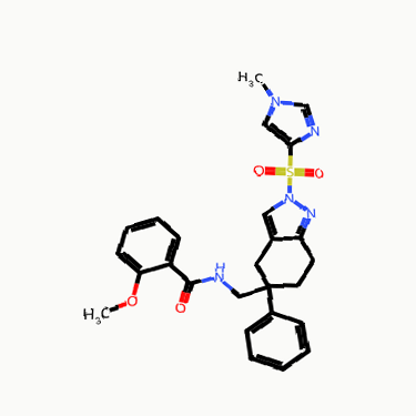 COc1ccccc1C(=O)NCC1(c2ccccc2)CCc2nn(S(=O)(=O)c3cn(C)cn3)cc2C1